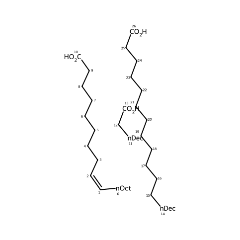 CCCCCCCC/C=C\CCCCCCCC(=O)O.CCCCCCCCCCCC(=O)O.CCCCCCCCCCCCCCCCCCCCCC(=O)O